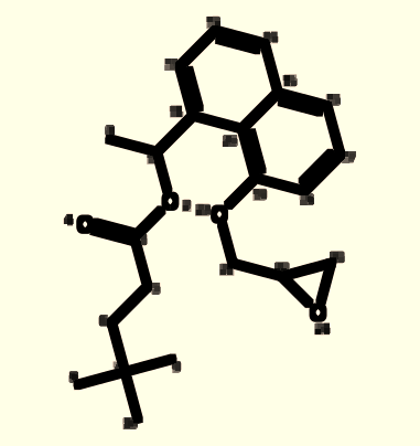 CC(OC(=O)CCC(C)(C)C)c1cccc2cccc(OCC3CO3)c12